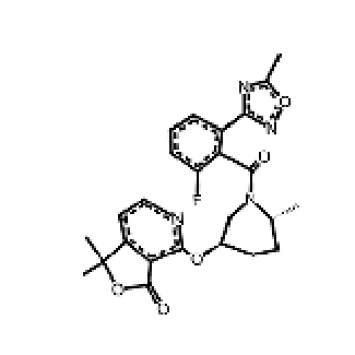 Cc1nc(-c2cccc(F)c2C(=O)N2C[C@H](Oc3nccc4c3C(=O)OC4(C)C)CC[C@H]2C)no1